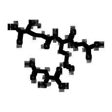 NC(CCC(=O)NC(CSN=O)C(=O)NCC(=O)O)C(=O)O.O=C(O)CC(S)C(=O)O